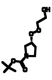 CC(C)(C)OC(=O)N1CC[C@@H](OOCCO)C1